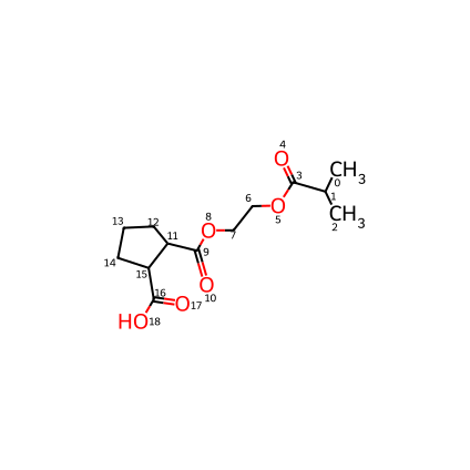 CC(C)C(=O)OCCOC(=O)C1CCCC1C(=O)O